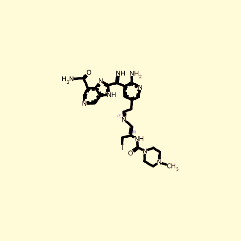 CN1CCN(C(=O)N/C(=C/N=C\Cc2cnc(N)c(C(=N)c3nc4c(C(N)=O)cncc4[nH]3)c2)CI)CC1